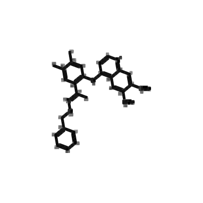 COc1cc2nccc(Oc3cc(C)c(C)cc3/C(C)=N/OCc3ccccc3)c2cc1OC